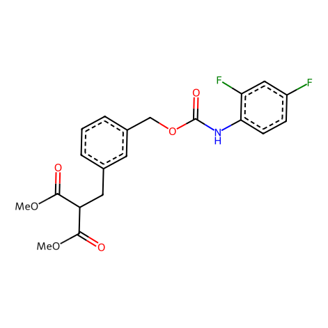 COC(=O)C(Cc1cccc(COC(=O)Nc2ccc(F)cc2F)c1)C(=O)OC